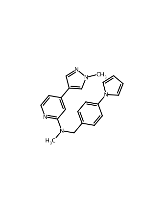 CN(Cc1ccc(-n2cccc2)cc1)c1cc(-c2cnn(C)c2)ccn1